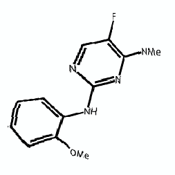 CNc1nc(Nc2cc[c]cc2OC)ncc1F